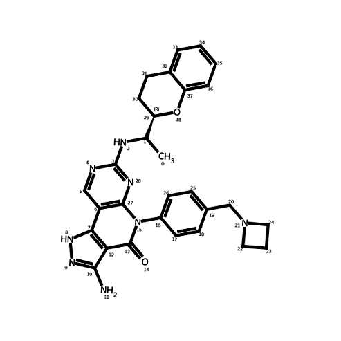 CC(Nc1ncc2c3[nH]nc(N)c3c(=O)n(-c3ccc(CN4CCC4)cc3)c2n1)[C@H]1CCc2ccccc2O1